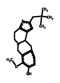 COc1c(O)ccc2c1CN1CCc3sc(CC(C)(C)C)cc3C1C2